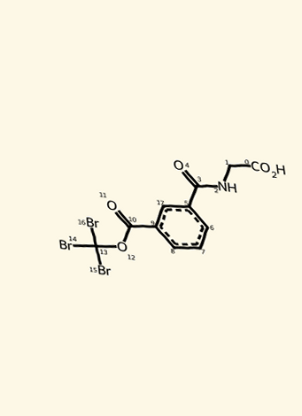 O=C(O)CNC(=O)c1cccc(C(=O)OC(Br)(Br)Br)c1